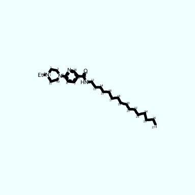 CCN1CCN(c2ccc(C(=O)NCCCCCCCCCCCCCCCI)cn2)CC1